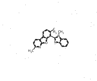 Cc1ccc2c(n1)oc1c(-c3nc4ccccc4n3C)c(C)ccc12